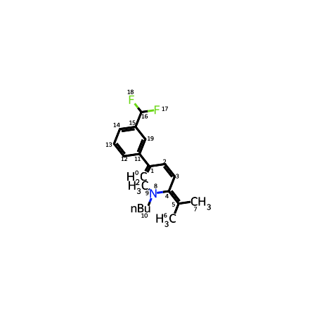 C=C(/C=C\C(=C(C)C)N(C)CCCC)c1cccc(C(F)F)c1